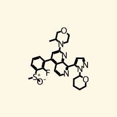 CC1COCCN1c1cc(-c2cccc([S+](C)[O-])c2F)c2ccnc(-c3ccnn3C3CCCCO3)c2n1